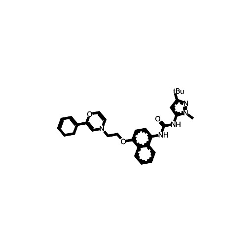 Cn1nc(C(C)(C)C)cc1NC(=O)Nc1ccc(OCCN2C=COC(C3=CC=CCC3)=C2)c2ccccc12